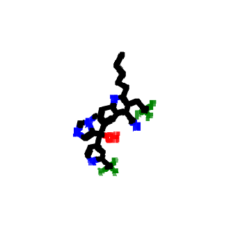 CCCCCc1nc2ccc(C(O)(c3ccnc(C(F)(F)F)c3)c3cncn3C)cc2c(C#N)c1CC(F)(F)F